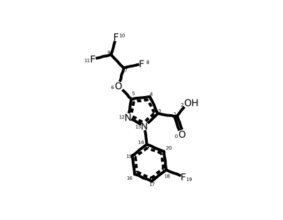 O=C(O)c1cc(OC(F)C(F)F)nn1-c1cccc(F)c1